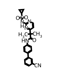 CC(C)(C(=O)Nc1ccc(-c2cccc(C#N)c2)cc1)c1ccnc(NS(=O)(=O)C2CC2)n1